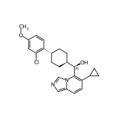 COc1ccc([C@H]2CC[C@H]([C@@H](O)c3c(C4CC4)ccc4cncn34)CC2)c(Cl)c1